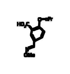 CCCOc1ccc(C=NOC)cc1C(=O)O